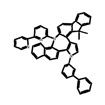 CC1(C)c2ccccc2-c2ccc3c(c21)-c1ccn(-c2cccc(-c4ccccc4)c2)c1-c1ccc2ccccc2c1N3c1cccc(-c2ccccn2)n1